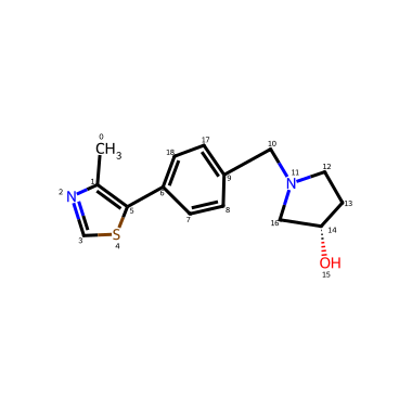 Cc1ncsc1-c1ccc(CN2CC[C@H](O)C2)cc1